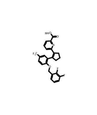 COC(=O)c1cccc(C2=C(c3cc(C(F)(F)F)ccc3OCc3cccc(F)c3F)CCC2)n1